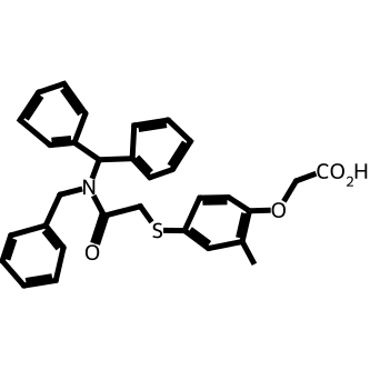 Cc1cc(SCC(=O)N(Cc2ccccc2)C(c2ccccc2)c2ccccc2)ccc1OCC(=O)O